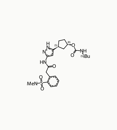 CC[C@H](C)NC(=O)O[C@@H]1CC[C@H](c2cc(NC(=O)Cc3ccccc3S(=O)(=O)NC)n[nH]2)C1